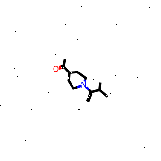 C=C(C(C)C)N1CCC(C(C)=O)CC1